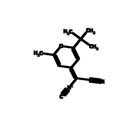 [C-]#[N+]/C(C#N)=C1\C=C(C)OC(C(C)(C)C)=C1